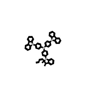 C=C/C=C\C1(C)C(C)c2ccccc2N1c1ccc(N(c2ccc(-n3c4ccccc4c4ccccc43)cc2)c2ccc(-n3c4ccccc4c4ccccc43)cc2)cc1